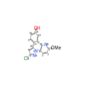 COc1ccc(-n2nc(Cl)cc2-c2ccc(O)cc2)cn1